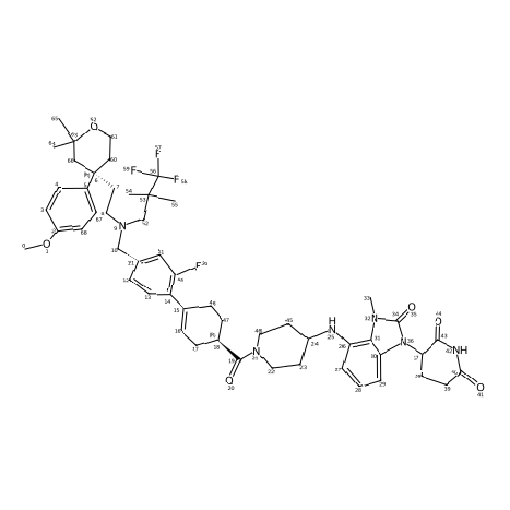 COc1ccc([C@]2(CCN(Cc3ccc(C4=CC[C@H](C(=O)N5CCC(Nc6cccc7c6n(C)c(=O)n7C6CCC(=O)NC6=O)CC5)CC4)c(F)c3)CC(C)(C)C(F)(F)F)CCOC(C)(C)C2)cc1